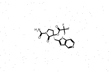 NC(=O)N1CC[C@@](Cc2cc3cnccc3s2)(OC(=O)C(F)(F)F)C1=O